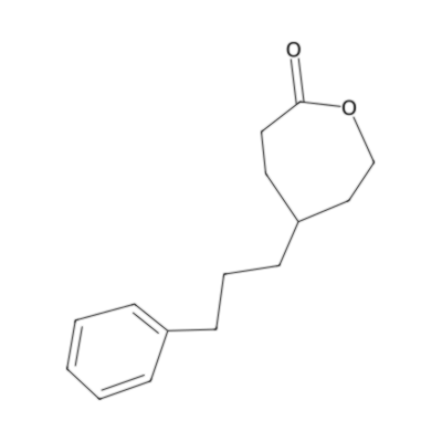 O=C1CCC(CCCc2ccccc2)CCO1